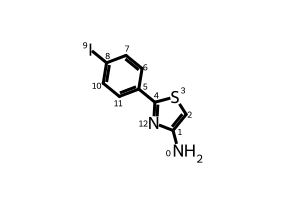 Nc1csc(-c2ccc(I)cc2)n1